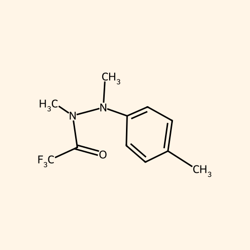 Cc1ccc(N(C)N(C)C(=O)C(F)(F)F)cc1